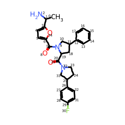 CC(N)c1ccc(C(=O)N2CC(c3ccccc3)CC2C(=O)N2CCC(c3ccc(F)cc3)C2)o1